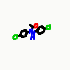 CC(=O)N(Nc1ccc(Cl)cc1)c1ccc(Cl)cc1